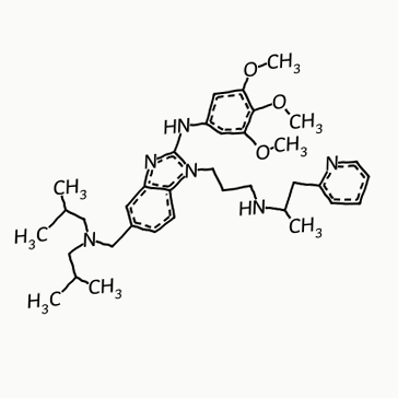 COc1cc(Nc2nc3cc(CN(CC(C)C)CC(C)C)ccc3n2CCCNC(C)Cc2ccccn2)cc(OC)c1OC